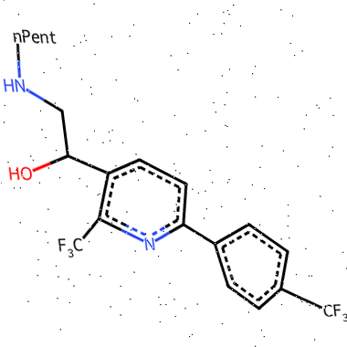 CCCCCNCC(O)c1ccc(-c2ccc(C(F)(F)F)cc2)nc1C(F)(F)F